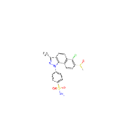 C[S+]([O-])c1ccc2c(ccc3c(C(F)(F)F)nn(-c4ccc(S(N)(=O)=O)cc4)c32)c1Cl